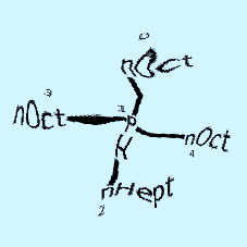 CCCCCCCC[PH](CCCCCCC)(CCCCCCCC)CCCCCCCC